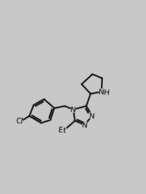 CCc1nnc(C2CCCN2)n1Cc1ccc(Cl)cc1